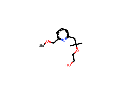 CC(C)(C)OCc1cccc(CC(C)(C)OCCO)n1